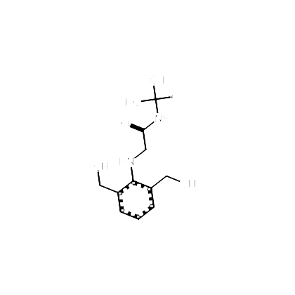 CCc1cccc(CC)c1NCC(=O)NC(C)(C)C